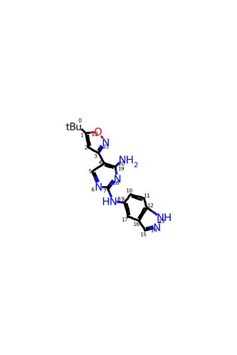 CC(C)(C)c1cc(-c2cnc(Nc3ccc4[nH]ncc4c3)nc2N)no1